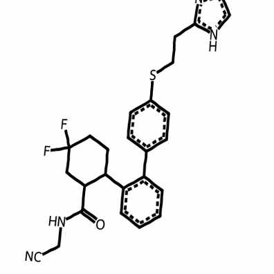 N#CCNC(=O)C1CC(F)(F)CCC1c1ccccc1-c1ccc(SCCc2ncc[nH]2)cc1